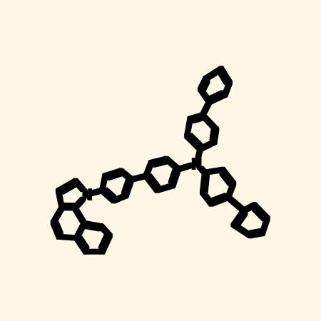 c1ccc(-c2ccc(N(c3ccc(-c4ccccc4)cc3)c3ccc(-c4ccc(-n5ccc6ccc7ccccc7c65)cc4)cc3)cc2)cc1